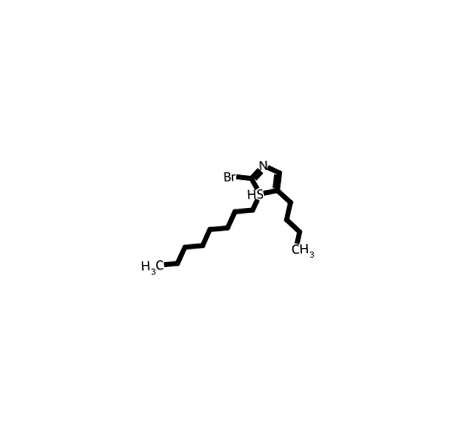 CCCCCCCC[SH]1C(CCCC)=CN=C1Br